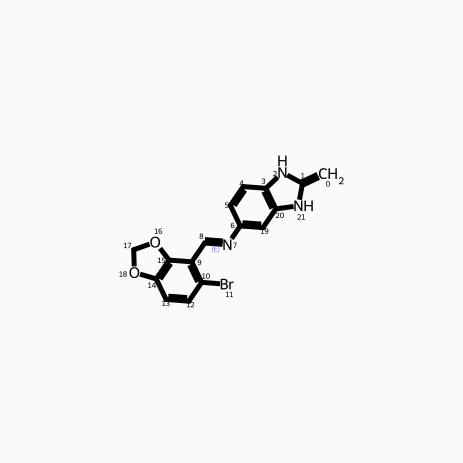 C=C1Nc2ccc(/N=C/c3c(Br)ccc4c3OCO4)cc2N1